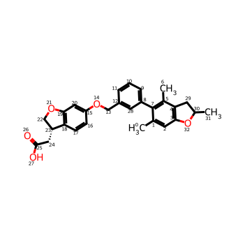 Cc1cc2c(c(C)c1-c1cccc(COc3ccc4c(c3)OC[C@H]4CC(=O)O)c1)CC(C)O2